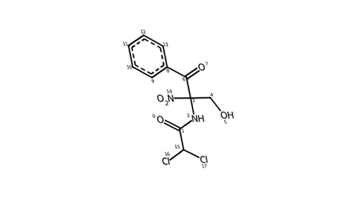 O=C(NC(CO)(C(=O)c1ccccc1)[N+](=O)[O-])C(Cl)Cl